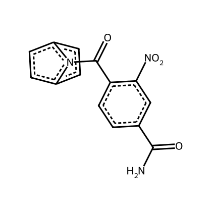 NC(=O)c1ccc(C(=O)n2c3ccc2cc3)c([N+](=O)[O-])c1